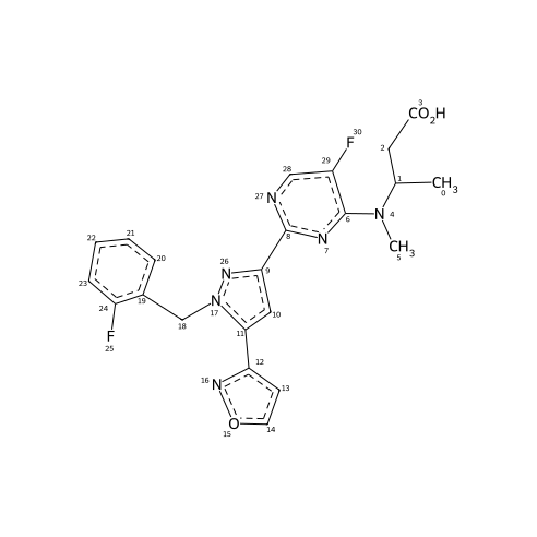 CC(CC(=O)O)N(C)c1nc(-c2cc(-c3ccon3)n(Cc3ccccc3F)n2)ncc1F